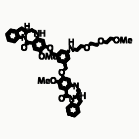 COCCOCCOCCNc1cc(COc2cc3c(cc2OC)C(=O)N2c4ccccc4C[C@@H]2C=N3)cc(COc2cc3c(cc2OC)C(=O)N2c4ccccc4C[C@H]2CN3)c1